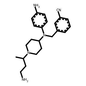 CC(CCN)N1CCC(N(Cc2cccc(C#N)c2)c2ccc(N)cc2)CC1